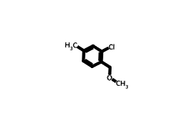 COCc1ccc(C)cc1Cl